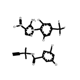 C#CC(C)(C)NC(=O)c1cc(Cl)cc(Cl)c1.Nc1c([N+](=O)[O-])cnn1-c1c(Cl)cc(C(F)(F)F)cc1Cl